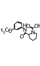 COc1cccc(NC(=O)C2CCCCN2C(=O)O)c1